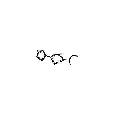 CCC(C)c1cnc(-c2ccoc2)cn1